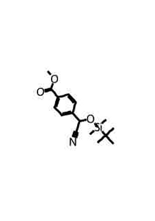 COC(=O)c1ccc(C(C#N)O[Si](C)(C)C(C)(C)C)cc1